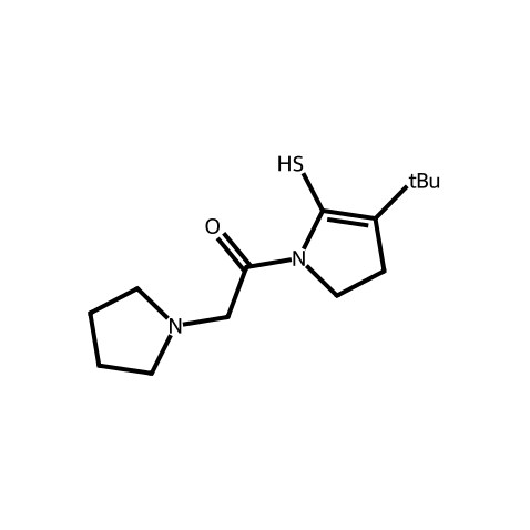 CC(C)(C)C1=C(S)N(C(=O)CN2CCCC2)CC1